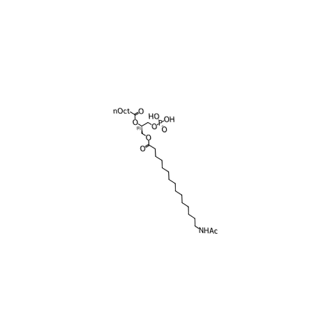 CCCCCCCCC(=O)O[C@H](COC(=O)CCCCCCCCCCCCCCNC(C)=O)COP(=O)(O)O